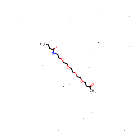 CCCC(=O)NCCOCCOCCOCCOCCC(C)=O